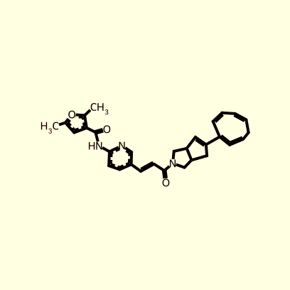 Cc1cc(C(=O)Nc2ccc(/C=C/C(=O)N3CC4C=C(C5=C=CC/C=C\C=C/5)CC4C3)cn2)c(C)o1